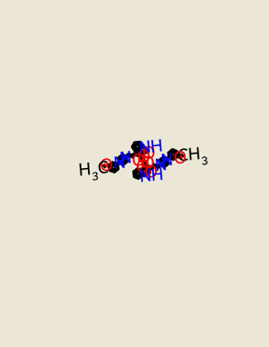 COc1cccc(N2CCN(CCCCC3(OC(=O)C(=O)OC4(CCCCN5CCN(c6cccc(OC)c6)CC5)C(=O)Nc5ccccc54)C(=O)Nc4ccccc43)CC2)c1